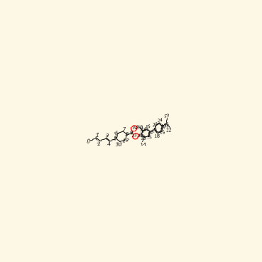 CCCCCC1CCC(C(=O)Oc2c(C)cc(-c3ccc(C(C)C)cc3)cc2C)CC1